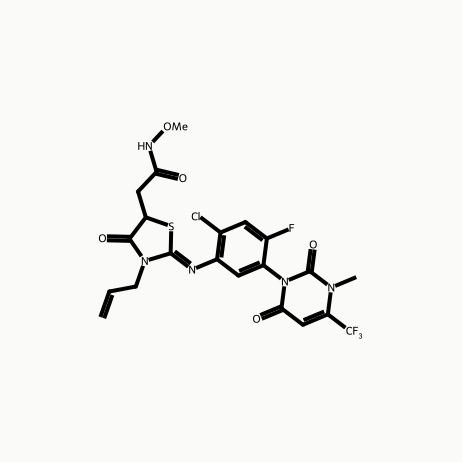 C=CCN1C(=O)C(CC(=O)NOC)SC1=Nc1cc(-n2c(=O)cc(C(F)(F)F)n(C)c2=O)c(F)cc1Cl